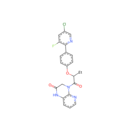 CCC(Oc1ccc(-c2ncc(Cl)cc2F)cc1)C(=O)N1CC(=O)Nc2cccnc21